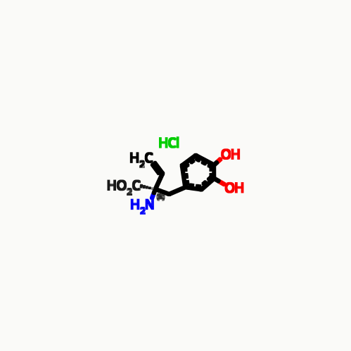 C=C[C@](N)(Cc1ccc(O)c(O)c1)C(=O)O.Cl